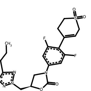 CCCc1nnn(C[C@H]2CN(c3cc(F)c(C4=CCS(=O)(=O)CC4)c(F)c3)C(=O)O2)n1